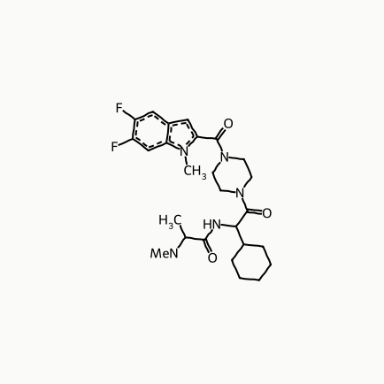 CNC(C)C(=O)NC(C(=O)N1CCN(C(=O)c2cc3cc(F)c(F)cc3n2C)CC1)C1CCCCC1